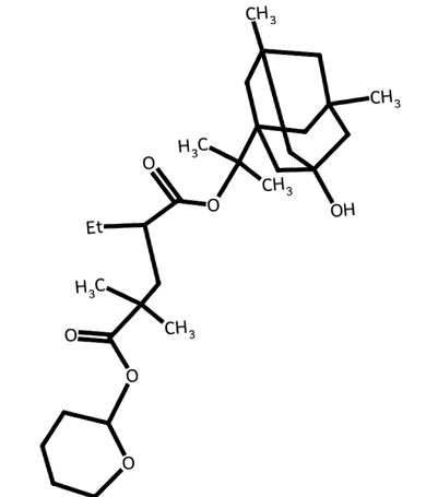 CCC(CC(C)(C)C(=O)OC1CCCCO1)C(=O)OC(C)(C)C12CC3(C)CC(C)(CC(O)(C3)C1)C2